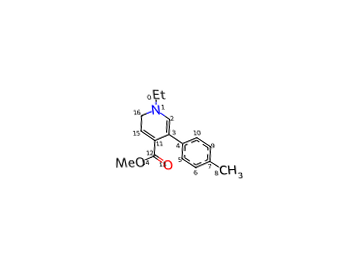 CCN1C=C(c2ccc(C)cc2)C(C(=O)OC)=CC1